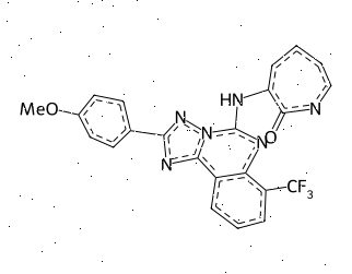 COc1ccc(-c2nc3c4cccc(C(F)(F)F)c4nc(Nc4ccccnc4=O)n3n2)cc1